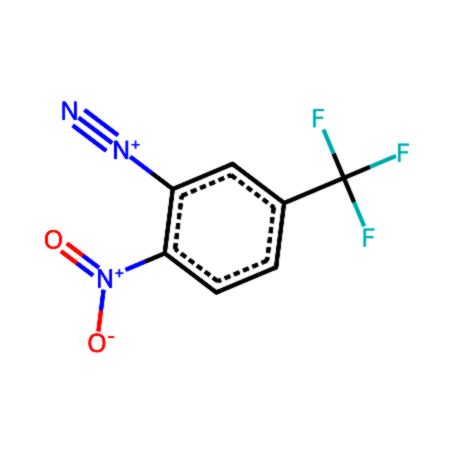 N#[N+]c1cc(C(F)(F)F)ccc1[N+](=O)[O-]